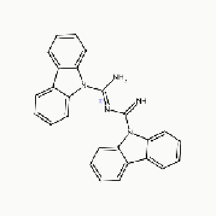 N=C(/N=C(\N)n1c2ccccc2c2ccccc21)n1c2ccccc2c2ccccc21